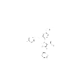 CCS(=O)(=O)Nc1ccc(-c2n[nH]c(Nc3ccccn3)c2C(N)=O)c(OCc2ccc(F)cc2)c1